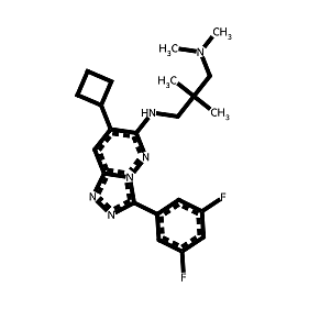 CN(C)CC(C)(C)CNc1nn2c(-c3cc(F)cc(F)c3)nnc2cc1C1CCC1